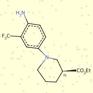 CCOC(=O)[C@H]1CCCN(c2ccc(N)c(C(F)(F)F)c2)C1